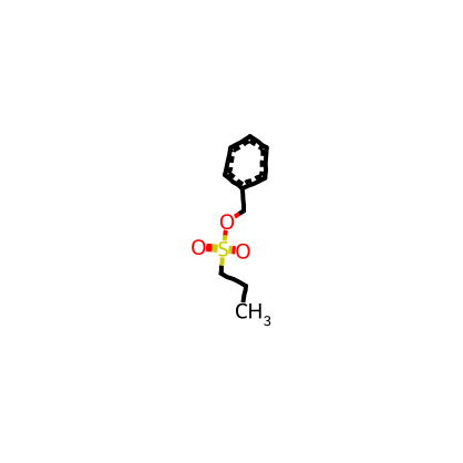 CCCS(=O)(=O)OCc1ccccc1